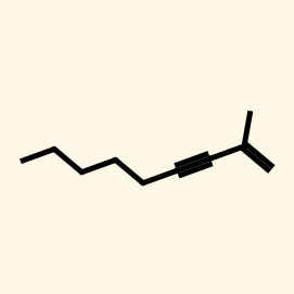 C=C(C)C#CCCCCC